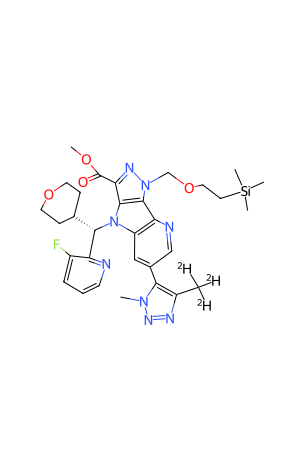 [2H]C([2H])([2H])c1nnn(C)c1-c1cnc2c3c(c(C(=O)OC)nn3COCC[Si](C)(C)C)n([C@H](c3ncccc3F)C3CCOCC3)c2c1